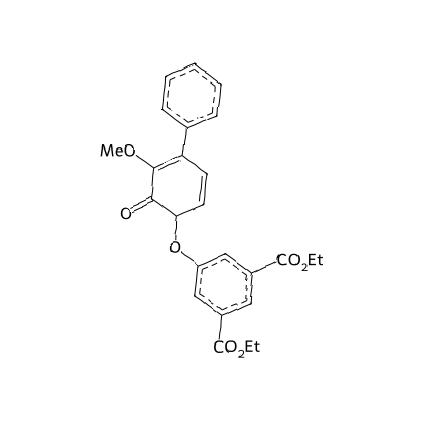 CCOC(=O)c1cc(OC2C=CC(c3ccccc3)=C(OC)C2=O)cc(C(=O)OCC)c1